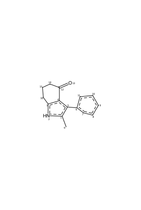 Cc1[nH]c2c(c1-c1ccccc1)C(=O)CCC2